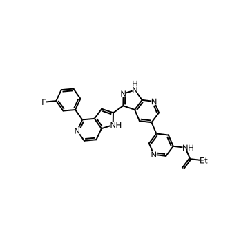 C=C(CC)Nc1cncc(-c2cnc3[nH]nc(-c4cc5c(-c6cccc(F)c6)nccc5[nH]4)c3c2)c1